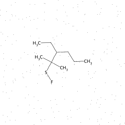 CCCC(CC)C(C)(C)SF